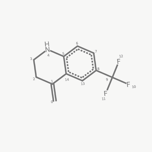 C=C1CCNc2ccc(C(F)(F)F)cc21